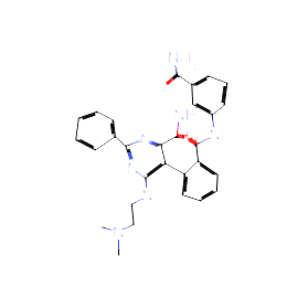 CN(C)CCNc1nc(-c2ccccc2)nc(C(N)=O)c1-c1ccccc1C(=O)Nc1cccc(C(N)=O)c1